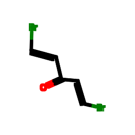 O=C(C=CBr)C=CBr